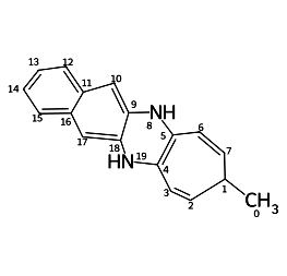 CC1C=CC2=C(C=C1)Nc1cc3ccccc3cc1N2